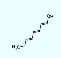 CC/C=C/C=C/C=C/O